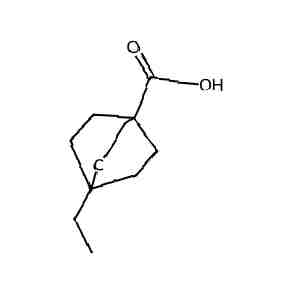 CCC12CCC(C(=O)O)(CC1)CC2